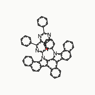 c1ccc(-c2ncc3nc(-n4c5c6ccccc6ccc5c5c6ccccc6c6c7ccc8ccccc8c7n(-c7ccccc7)c6c54)nc(-c4ccccc4)c3n2)cc1